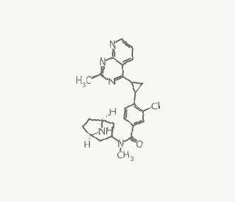 Cc1nc(C2CC2c2ccc(C(=O)N(C)C3C[C@H]4CC[C@@H](C3)N4)cc2Cl)c2cccnc2n1